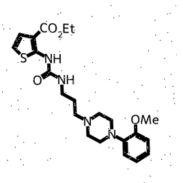 CCOC(=O)c1ccsc1NC(=O)NCCCN1CCN(c2ccccc2OC)CC1